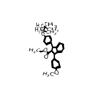 CCOC(=O)C1C(c2ccc(OC)cc2)c2ccccc2C1c1ccc(O[Si](C)(C)C(C)(C)C)cc1